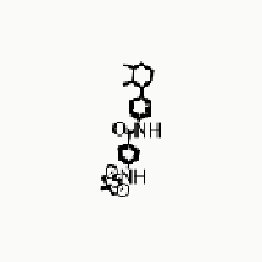 CC1CCCC(c2ccc(NC(=O)c3ccc(NS(=O)(=O)C(C)(C)C)cc3)cc2)C1C